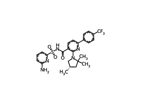 C[C@@H]1CN(c2nc(-c3ccc(C(F)(F)F)cc3)ccc2C(=O)NS(=O)(=O)c2cccc(N)n2)C(C)(C)C1